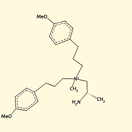 COc1ccc(CCC[N+](C)(CCCc2ccc(OC)cc2)C[C@H](C)N)cc1